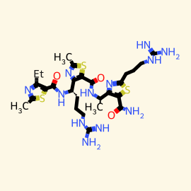 CCc1nc(C)sc1C(=O)N[C@@H](CCCNC(=N)N)c1nc(C)sc1C(=O)N[C@@H](C)c1nc(CCCNC(=N)N)sc1C(N)=O